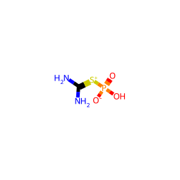 NC(N)=[S+]P(=O)([O-])O